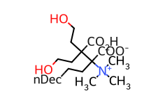 CCCCCCCCCCCCC(C(=O)[O-])(C(CCO)(CCO)C(=O)O)[N+](C)(C)C